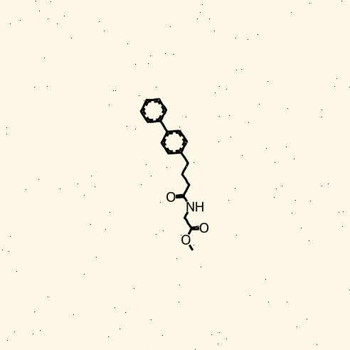 COC(=O)CNC(=O)CCCc1ccc(-c2ccccc2)cc1